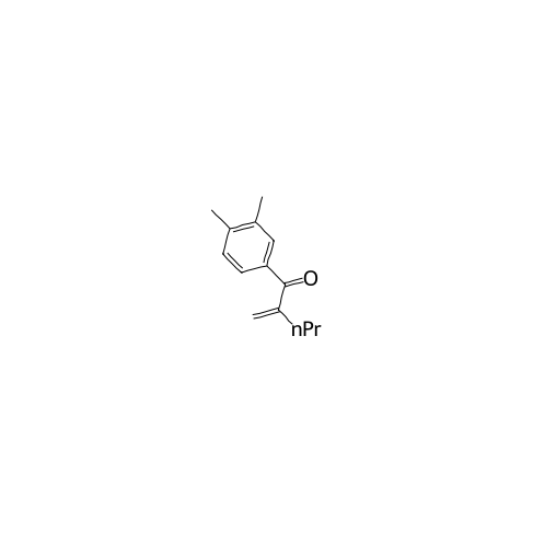 C=C(CCC)C(=O)c1ccc(C)c(C)c1